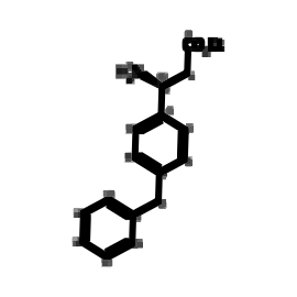 CCOC(=O)C[C@H](N)c1ccc(Cc2ccccc2)cc1